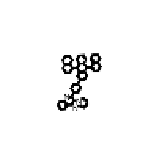 C1=CC2=C(c3cccc4c3CCC=C4)c3cc(C4=CCC(c5nc6ccccc6c6nc7ccccn7c56)C=C4)ccc3C(c3cccc4ccccc34)C2C=C1